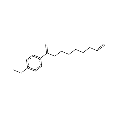 COc1ccc(C(=O)CCCCCCC=O)cc1